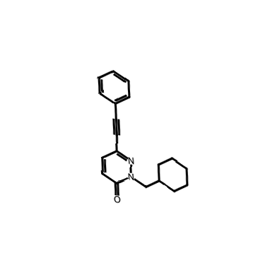 O=c1ccc(C#Cc2ccccc2)nn1CC1CCCCC1